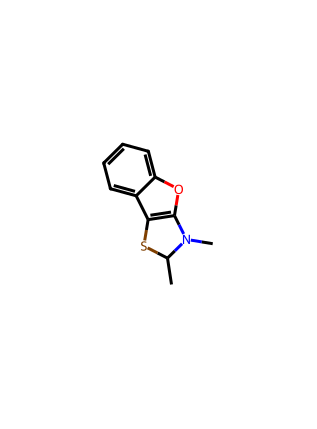 CC1Sc2c(oc3ccccc23)N1C